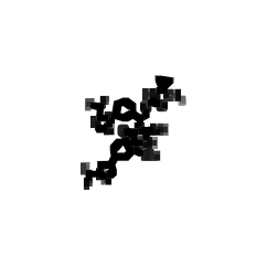 CC(C)(C)C[C@]1(C2(C)C=CC(c3cnn(C(F)F)c3)=CC2)NC(=N)N([C@H](COC(=O)NC2(C)CC2)c2cccc(-n3ncnc3C(F)F)c2)C1=O